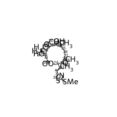 CSc1nc(C=CC2COC(=O)CC(O)C(C)(C)C(=O)C(C)C(O)C(C)CCCC3(C)OC23C)cs1